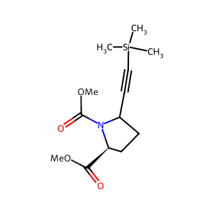 COC(=O)[C@@H]1CCC(C#C[Si](C)(C)C)N1C(=O)OC